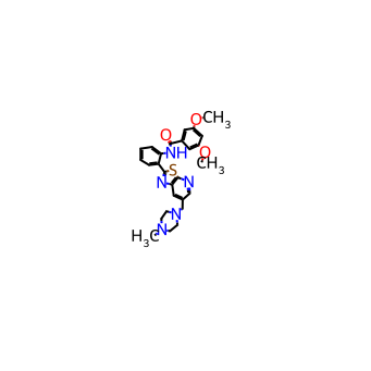 COc1cc(OC)cc(C(=O)Nc2ccccc2-c2nc3cc(CN4CCN(C)CC4)cnc3s2)c1